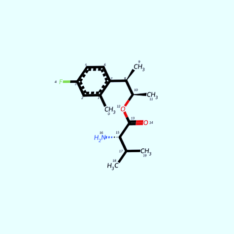 Cc1cc(F)ccc1[C@@H](C)[C@@H](C)OC(=O)[C@@H](N)C(C)C